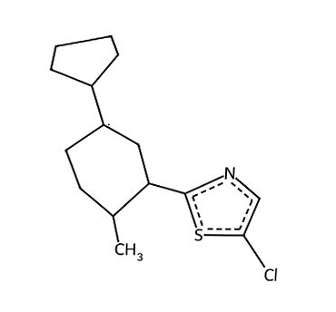 CC1CC[C](C2CCCC2)CC1c1ncc(Cl)s1